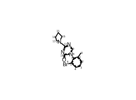 Cc1cccc(Br)c1-n1cnc(N2CCCC2)nc1=O